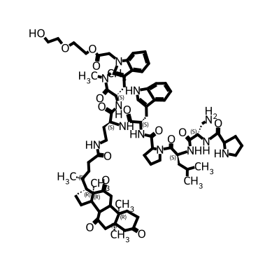 CC(C)C[C@H](NC(=O)[C@H](CN)NC(=O)C1CCCN1)C(=O)N1CCCC1C(=O)N[C@@H](Cc1c[nH]c2ccccc12)C(=O)N[C@@H](CCNC(=O)CC[C@@H](C)[C@H]1CCC2C3C(=O)C[C@]4(C)CC(=O)CC[C@]4(C)C3CC(=O)[C@@]21C)C(=O)N[C@@H](Cc1cn(CC(=O)OCCOCCO)c2ccccc12)C(=O)N(C)C